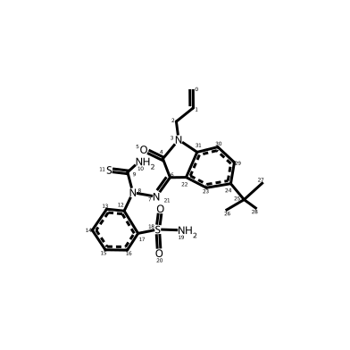 C=CCN1C(=O)/C(=N\N(C(N)=S)c2ccccc2S(N)(=O)=O)c2cc(C(C)(C)C)ccc21